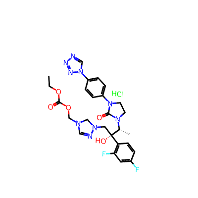 CCOC(=O)OCN1C=NN(C[C@](O)(c2ccc(F)cc2F)[C@@H](C)N2CCN(c3ccc(-n4cnnn4)cc3)C2=O)C1.Cl